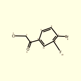 O=C(CCl)c1ccc(Br)c(F)c1